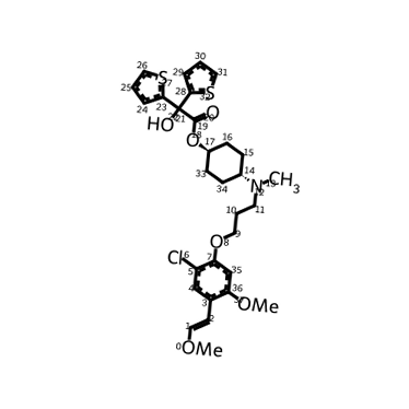 COC=Cc1cc(Cl)c(OCCCN(C)[C@H]2CC[C@H](OC(=O)C(O)(c3cccs3)c3cccs3)CC2)cc1OC